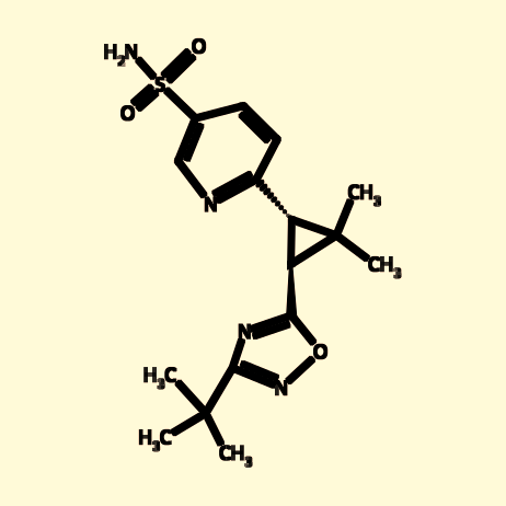 CC(C)(C)c1noc([C@H]2[C@H](c3ccc(S(N)(=O)=O)cn3)C2(C)C)n1